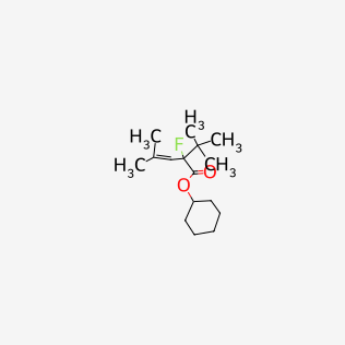 CC(C)=CC(F)(C(=O)OC1CCCCC1)C(C)(C)C